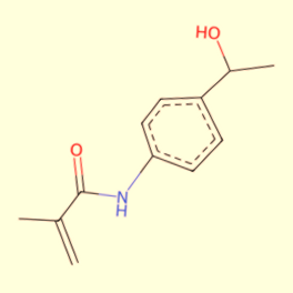 C=C(C)C(=O)Nc1ccc(C(C)O)cc1